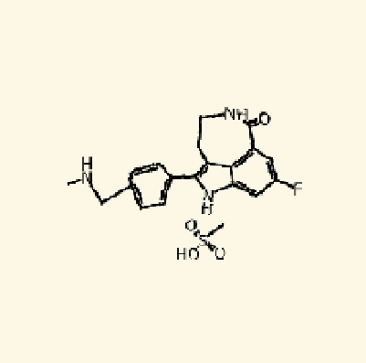 CNCc1ccc(-c2[nH]c3cc(F)cc4c3c2CCNC4=O)cc1.CS(=O)(=O)O